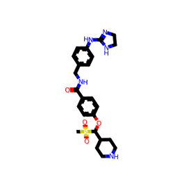 CS(=O)(=O)C(Oc1ccc(C(=O)NCc2ccc(NC3=NCCN3)cc2)cc1)C1CCNCC1